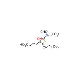 CCCCCCCCCCC/C=C\[C@H](S[C@H](C)N(C=O)CC(=O)O)[C@@H](O)CCCC(=O)O